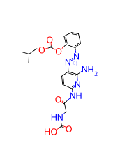 CC(C)COC(=O)Oc1ccccc1/N=N/c1ccc(NC(=O)CNC(=O)O)nc1N